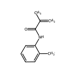 [CH2]c1ccccc1NC(=O)C(=C)C